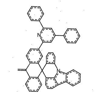 C=C1c2ccccc2C2(c3cc(-c4cc(-c5ccccc5)cc(-c5ccccc5)n4)ccc31)c1ccccc1-n1c3ccccc3c3cccc2c31